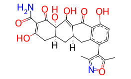 Cc1noc(C)c1-c1ccc(O)c2c1C[C@H]1C[C@H]3CC(O)=C(C(N)=O)C(=O)[C@@]3(O)C(O)=C1C2=O